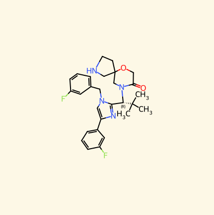 CC(C)(C)[C@H](c1nc(-c2cccc(F)c2)cn1Cc1cccc(F)c1)N1CC2(CCNC2)OCC1=O